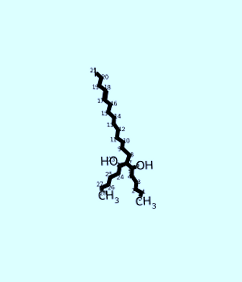 CCCCCC(O)C(CCCCCCCCC/C=C/CCI)C(O)CCCCC